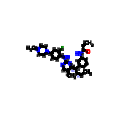 C=CC(=O)Nc1cccc(C(/C=C\C)=c2\nc(Nc3ccc(N4CCN(C)CC4)cc3F)ncc2=C)c1